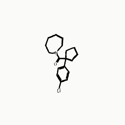 O=C(N1CCCCCC1)C1(c2ccc(Cl)cc2)CCCC1